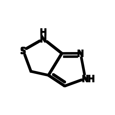 c1[nH]nc2c1CSN2